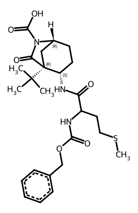 CSCCC(NC(=O)OCc1ccccc1)C(=O)N[C@H]1CC[C@@H]2C[C@]1(C(C)(C)C)C(=O)N2C(=O)O